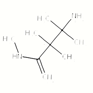 C=C(NC)C(C)(C)C(C)(C)N